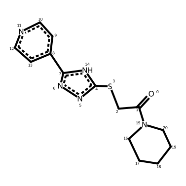 O=C(CSc1nnc(-c2ccncc2)[nH]1)N1CCCCC1